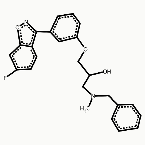 CN(Cc1ccccc1)CC(O)COc1cccc(-c2noc3cc(F)ccc23)c1